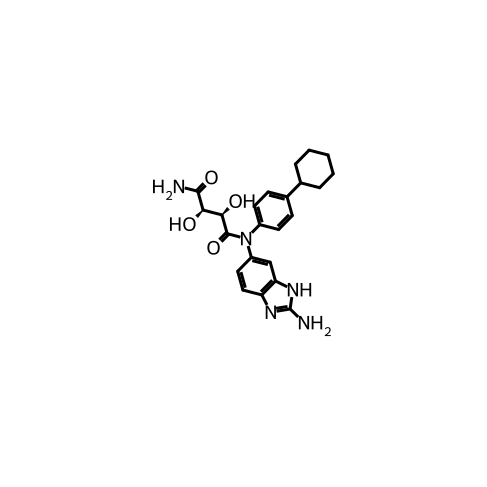 NC(=O)[C@H](O)[C@@H](O)C(=O)N(c1ccc(C2CCCCC2)cc1)c1ccc2nc(N)[nH]c2c1